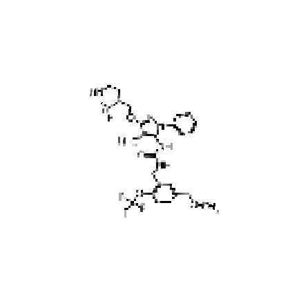 COCc1ccc(OC(F)(F)F)c(CNC(=O)Nc2c(C)c(OCC3CCNC[C@H]3F)nn2-c2ccccc2)c1